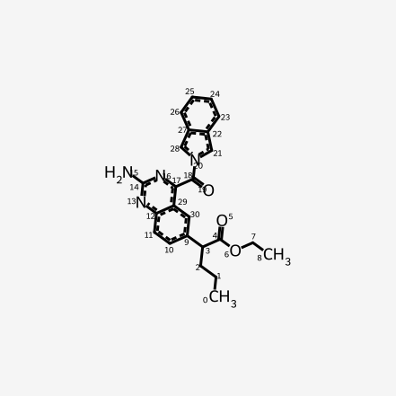 CCCC(C(=O)OCC)c1ccc2nc(N)nc(C(=O)n3cc4ccccc4c3)c2c1